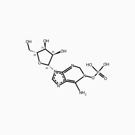 NC1=c2ncn([C@@H]3O[C@H](CO)[C@@H](O)[C@H]3O)c2=NCN1OP(=O)(O)O